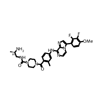 COc1ccc(-c2cnc3c(Nc4ccc(C(=O)N5CCN(C(=O)NC[C@@H](C)N)CC5)c(C)c4)nccn23)c(F)c1F